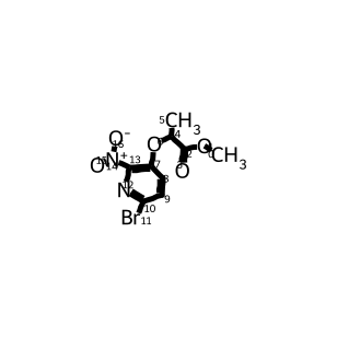 COC(=O)C(C)Oc1ccc(Br)nc1[N+](=O)[O-]